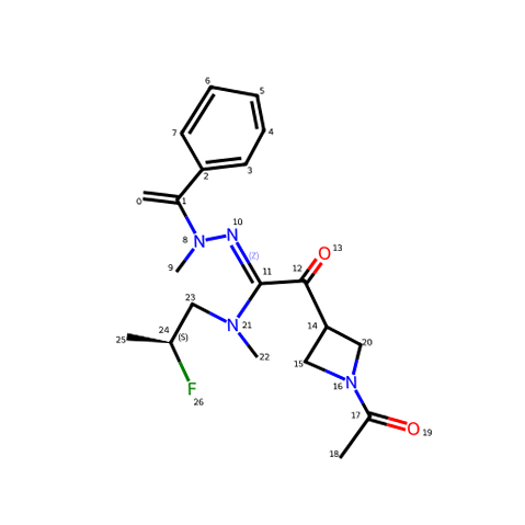 C=C(c1ccccc1)N(C)/N=C(/C(=O)C1CN(C(C)=O)C1)N(C)C[C@H](C)F